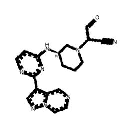 N#CC(C=O)N1CCC[C@@H](Nc2ccnc(-c3cnn4ccncc34)n2)C1